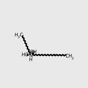 CCCCCCCC/C=C/CCCCCCCCCCCCCC(=O)N[C@@H](CO)[C@H](O)/C=C/CCCCCCCCCCC